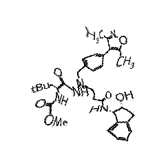 COC(=O)N[C@H](C(=O)NN(CCC(=O)N[C@H]1c2ccccc2C[C@H]1O)Cc1ccc(-c2c(C)noc2C)cc1)C(C)(C)C